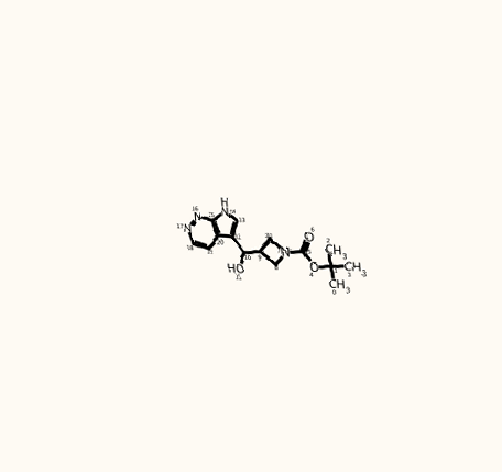 CC(C)(C)OC(=O)N1CC(C(O)c2c[nH]c3nnccc23)C1